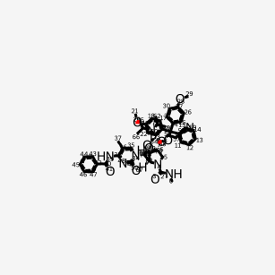 CNC(=O)N1C[C@]2(COC(c3ccccc3)(c3ccc(OC)cc3)c3ccc(OC)cc3)O[C@@H](n3cc(C)c(NC(=O)c4ccccc4)nc3=O)[C@H]1[C@@H]2OP(OCCC#N)N(C(C)C)C(C)C